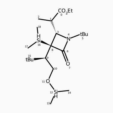 CCOC(=O)C(C)[C@@H]1N(C(C)(C)C)C(=O)[C@@]1([C@@H](CO[SiH](C)C)C(C)(C)C)[SiH](C)C